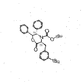 CC(C)(C)OC(=O)N1[C@@H](Cc2cccc(C(C)(C)C)c2)C(=O)OC(c2ccccc2)[C@@H]1c1ccccc1